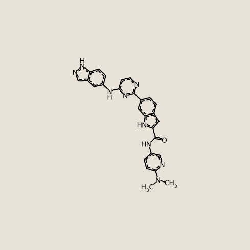 CN(C)c1ccc(NC(=O)c2cc3ccc(-c4nccc(Nc5ccc6[nH]ncc6c5)n4)cc3[nH]2)cn1